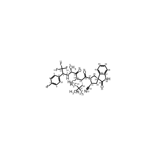 C[C@H](NC(c1ccc(F)cc1)C(F)(F)F)C(=O)N(C)[C@@H](CC(C)(C)C)C(=O)N1C[C@]2(C[C@H]1C#N)C(=O)Nc1ccccc12